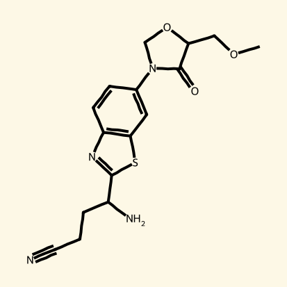 COCC1OCN(c2ccc3nc(C(N)CCC#N)sc3c2)C1=O